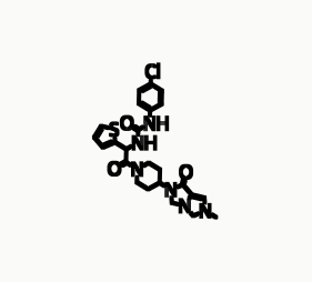 CN1C=C2C(=O)N(C3CCN(C(=O)C(NC(=O)Nc4ccc(Cl)cc4)c4cccs4)CC3)CN2C1